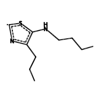 CCCCNc1s[c]nc1CCC